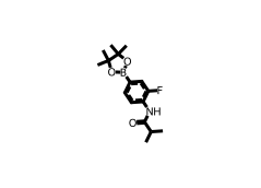 CC(C)C(=O)Nc1ccc(B2OC(C)(C)C(C)(C)O2)cc1F